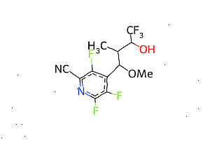 COC(c1c(F)c(F)nc(C#N)c1F)C(C)C(O)C(F)(F)F